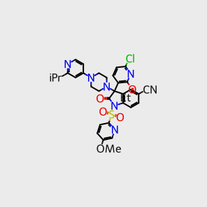 CCOc1nc(Cl)ccc1C1(N2CCN(c3ccnc(C(C)C)c3)CC2)C(=O)N(S(=O)(=O)c2ccc(OC)cn2)c2ccc(C#N)cc21